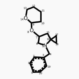 c1ccc(CN2CC(OC3CCCCO3)CC23CC3)cc1